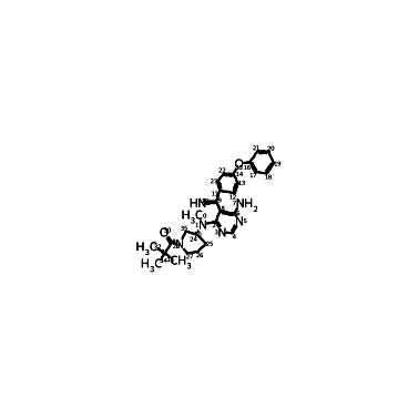 CN(c1ncnc(N)c1C(=N)c1ccc(Oc2ccccc2)cc1)[C@@H]1CCCN(C(=O)C(C)(C)C)C1